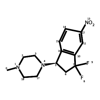 CN1CCN([C@@H]2CC(F)(F)c3cc([N+](=O)[O-])ccc32)CC1